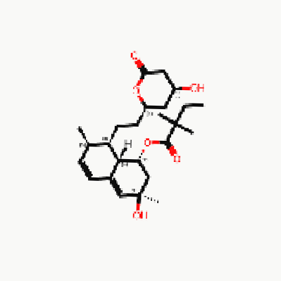 CCC(C)(C)C(=O)O[C@@H]1C[C@@](C)(O)C=C2C=C[C@@H](C)[C@@H](CC[C@@H]3C[C@H](O)CC(=O)O3)[C@@H]21